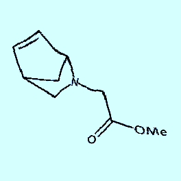 COC(=O)CN1CC2C=CC1C2